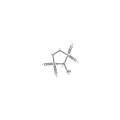 O=S1(=O)CCS(=O)(=O)N1S